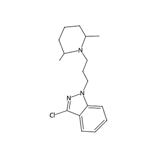 CC1CCCC(C)N1CCCn1nc(Cl)c2ccccc21